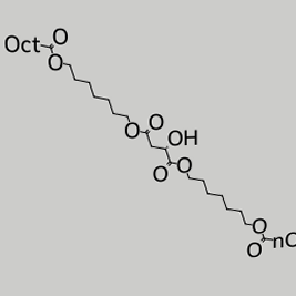 CCCCCCCCC(=O)OCCCCCCCOC(=O)C[C@H](O)C(=O)OCCCCCCCOC(=O)CCCCCCCC